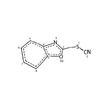 N#CSc1nc2ccccc2o1